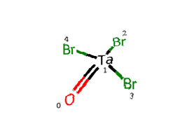 [O]=[Ta]([Br])([Br])[Br]